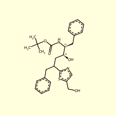 CC(C)(C)OC(=O)N[C@@H](Cc1ccccc1)[C@@H](O)CC(Cc1ccccc1)c1ncc(CO)s1